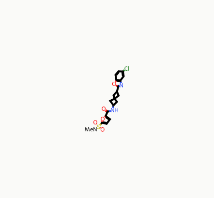 CNS(=O)(=O)c1ccc(C(=O)NC2CC3(C2)CC(c2nc4cc(Cl)ccc4o2)C3)o1